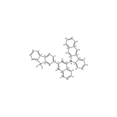 CC1(C)c2ccccc2-c2ccc(-c3nc(-n4c5ccccc5c5cc6ccccc6cc54)c4cccnc4n3)cc21